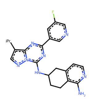 CC(C)c1cnn2c(NC3CCc4c(ccnc4N)C3)nc(-c3cncc(F)c3)nc12